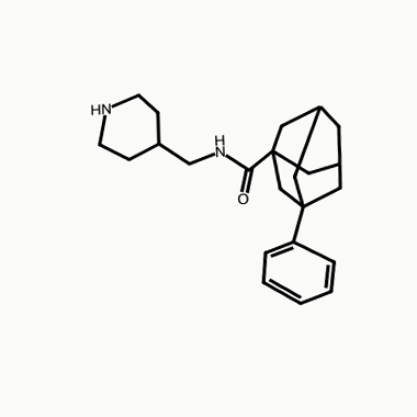 O=C(NCC1CCNCC1)C12CC3CC(C1)CC(c1ccccc1)(C3)C2